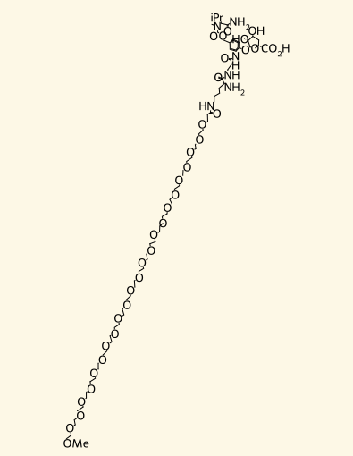 COCCOCCOCCOCCOCCOCCOCCOCCOCCOCCOCCOCCOCCOCCOCCOCCOCCOCCOCCOCCOCCOCCOCCOCCC(=O)NCCCC[C@H](N)C(=O)NCCC(=O)Nc1cc(COC(=O)N(C)[C@H](C(N)=O)C(C)C)ccc1O[C@@H]1O[C@H](C(=O)O)C[C@H](O)[C@H]1O